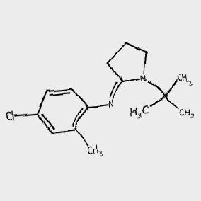 Cc1cc(Cl)ccc1N=C1CCCN1C(C)(C)C